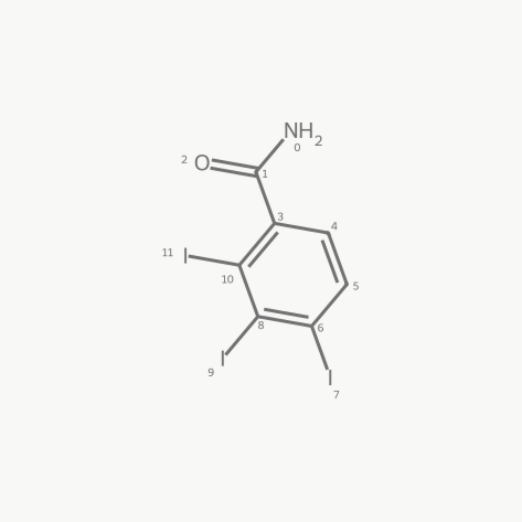 NC(=O)c1ccc(I)c(I)c1I